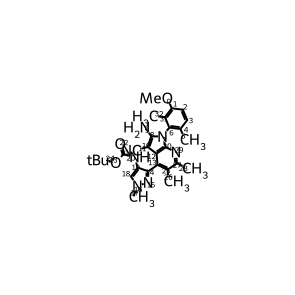 COc1ccc(C)c(-n2c(N)c(C#N)c3c(-c4nn(C)cc4NC(=O)OC(C)(C)C)c(C)c(C)nc32)c1C